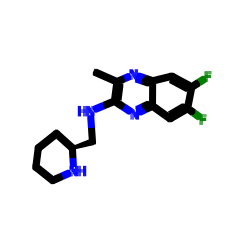 Cc1nc2cc(F)c(F)cc2nc1NC[C@@H]1CCCCN1